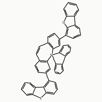 C1=Cc2ccc(-c3cccc4sc5ccccc5c34)cc2[Si]2(c3cc(-c4cccc5c4oc4ccccc45)ccc31)c1ccccc1-c1ccccc12